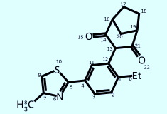 CCc1ccc(-c2nc(C)cs2)cc1C1C(=O)C2CCC(C2)C1=O